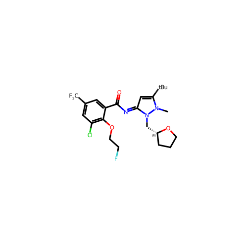 Cn1c(C(C)(C)C)cc(=NC(=O)c2cc(C(F)(F)F)cc(Cl)c2OCCF)n1C[C@H]1CCCO1